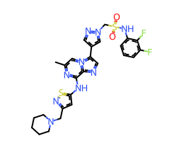 Cc1cn2c(-c3cnn(CS(=O)(=O)Nc4cccc(F)c4F)c3)cnc2c(Nc2cc(CN3CCCCC3)ns2)n1